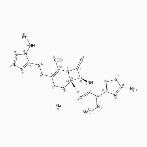 CO/N=C(\C(=O)N[C@@H]1C(=O)N2C(C(=O)[O-])=C(CSc3nnnn3NC(C)C)CS[C@@H]12)c1csc(N)n1.[Na+]